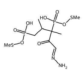 CSOP(=O)(O)C[C](C)C(C)(C(=O)C=NN)P(=O)(O)OSC